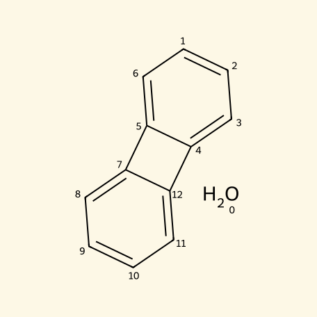 O.c1ccc2c(c1)-c1ccccc1-2